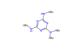 CCCCNc1nc(NCCCC)nc(N(CCCC)CCCC)n1